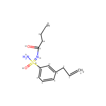 C=CCc1cccc(S(N)(=O)=NC(=O)CCC(C)C)c1